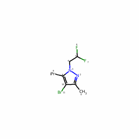 Cc1nn(CC(F)F)c(C(C)C)c1Br